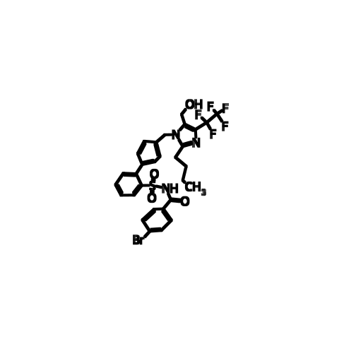 CCCCc1nc(C(F)(F)C(F)(F)F)c(CO)n1Cc1ccc(-c2ccccc2S(=O)(=O)NC(=O)c2ccc(Br)cc2)cc1